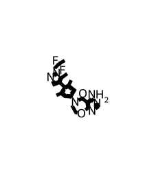 Cc1cc(N2CCOc3ncnc(N)c3C2=O)cc(C)c1-c1cnn(CC(C)(F)F)c1C